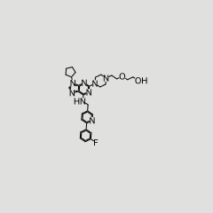 OCCOCCN1CCN(c2nc(NCc3ccc(-c4cccc(F)c4)nc3)c3ncn(C4CCCC4)c3n2)CC1